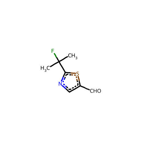 CC(C)(F)c1ncc(C=O)s1